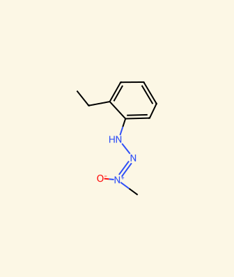 CCc1ccccc1NN=[N+](C)[O-]